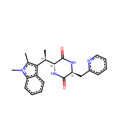 Cc1c([C@@H](C)[C@H]2NC(=O)[C@H](Cc3ccccn3)NC2=O)c2ccccc2n1C